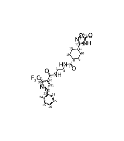 O=C(NCCNC(=O)[C@H]1CC[C@H](c2noc(=O)[nH]2)CC1)c1cn(-c2ccccc2)nc1C(F)(F)F